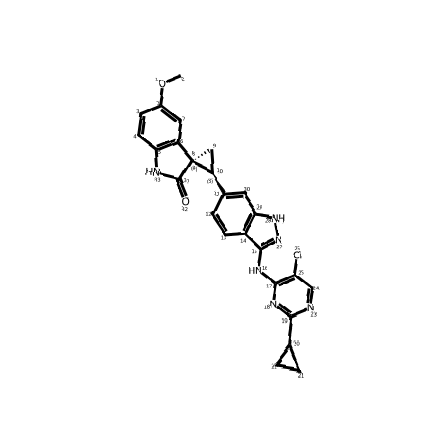 COc1ccc2c(c1)[C@]1(C[C@H]1c1ccc3c(Nc4nc(C5CC5)ncc4Cl)n[nH]c3c1)C(=O)N2